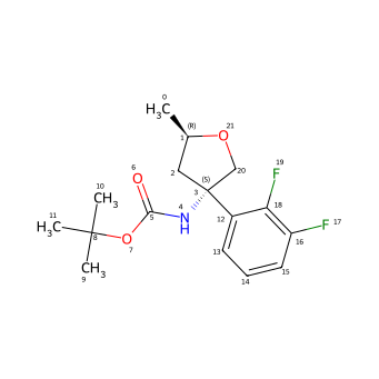 C[C@@H]1C[C@](NC(=O)OC(C)(C)C)(c2cccc(F)c2F)CO1